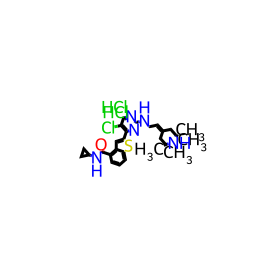 CC1(C)CC(=CCNc2ncc(Cl)c(-c3cc4c(C(=O)NC5CC5)cccc4s3)n2)CC(C)(C)N1.Cl.Cl